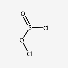 O=S(Cl)OCl